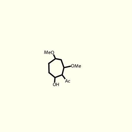 COC1CCC(O)C(C(C)=O)C(OC)C1